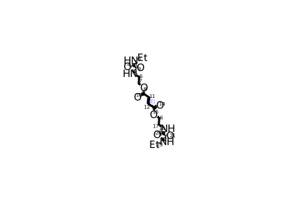 CCNS(=O)(=O)NCCOC(=O)/C=C/C(=O)OCCNS(=O)(=O)NCC